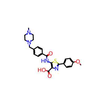 COc1ccc(-c2nc(C(=O)O)c(NC(=O)c3ccc(CN4CCN(C)CC4)cc3)s2)cc1